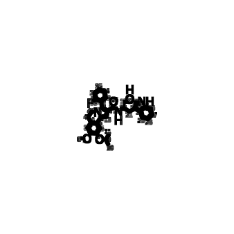 COc1cc2c(cc1OC(C)C)-c1cc(C(=O)N[C@@H](CO)Cc3c[nH]c4ccccc34)c(-c3ccccc3F)n1CC2